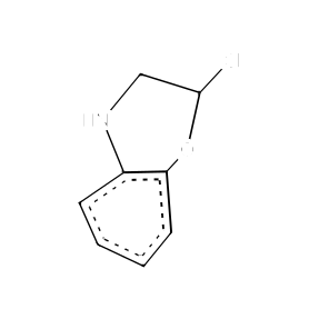 ClC1CNc2ccccc2O1